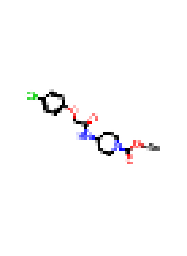 CC(C)(C)OC(=O)N1CCC(NC(=O)COc2ccc(Cl)cc2)CC1